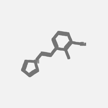 Cc1c(C=C[SH]2C=CC=C2)cccc1C(C)(C)C